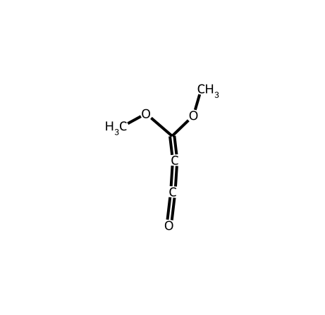 COC(=C=C=O)OC